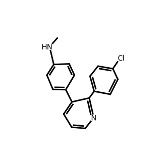 CNc1ccc(-c2cccnc2-c2ccc(Cl)cc2)cc1